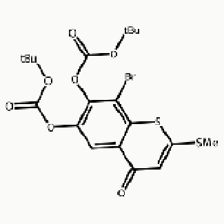 CSc1cc(=O)c2cc(OC(=O)OC(C)(C)C)c(OC(=O)OC(C)(C)C)c(Br)c2s1